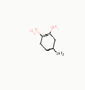 BC1=C(B)CC(C)CC1